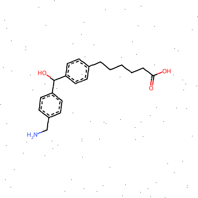 NCc1ccc(C(O)c2ccc(CCCCCC(=O)O)cc2)cc1